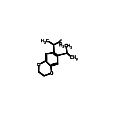 CC(C)c1cc2c(cc1C(C)C)OCCO2